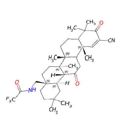 CC1(C)CC[C@]2(CNC(=O)C(F)(F)F)CC[C@]3(C)[C@H](C(=O)CC4[C@@]5(C)C=C(C#N)C(=O)C(C)(C)C5CC[C@]43C)[C@H]2C1